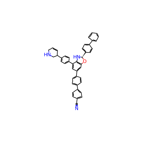 N#Cc1ccc(-c2ccc(-c3cc4c(c(-c5ccc(C6C=CCNC6)cc5)c3)N[C@@H](c3ccc(-c5ccccc5)cc3)O4)cc2)cc1